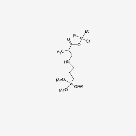 CC[Si](CC)(CC)OC(=O)C(C)CNCCC[Si](OC)(OC)OC